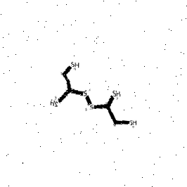 SCC(S)SSC(S)CS